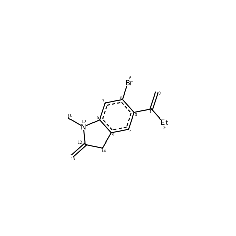 C=C(CC)c1cc2c(cc1Br)N(C)C(=C)C2